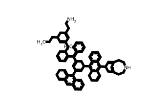 C=c1cccc/c1=C(\C1=CC(c2c3c(cc4ccccc24)=CCCC=3)=CC(c2c3c(c(C4C=C5C=C(CCNCC5)C4)c4ccccc24)C=CCC3)C1)C1=CC=CCC1CC1=CC(CCC)CC(CCN)=C1